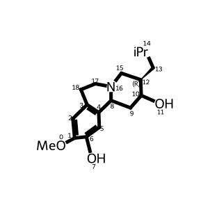 COc1cc2c(cc1O)C1CC(O)[C@H](CC(C)C)CN1CC2